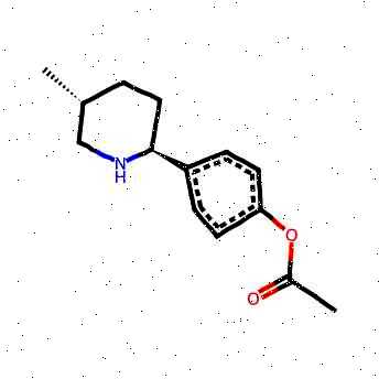 CC(=O)Oc1ccc([C@@H]2CC[C@@H](C)CN2)cc1